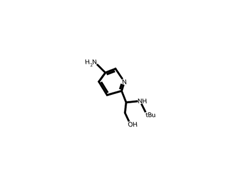 CC(C)(C)NC(CO)c1ccc(N)cn1